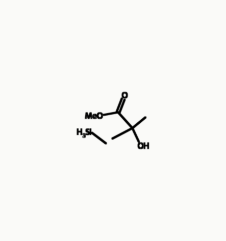 COC(=O)C(C)(C)O.C[SiH3]